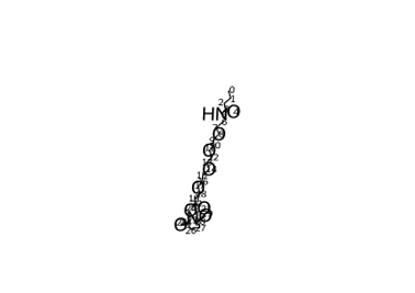 CCCC(=O)NCCOCCOCCOCCOCCC(=O)ON1C(=O)CCC1=O